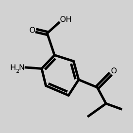 CC(C)C(=O)c1ccc(N)c(C(=O)O)c1